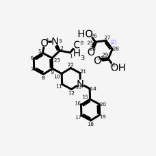 CCc1noc2cccc(C3CCN(Cc4ccccc4)CC3)c12.O=C(O)/C=C\C(=O)O